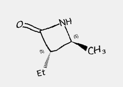 CC[C@@H]1C(=O)N[C@H]1C